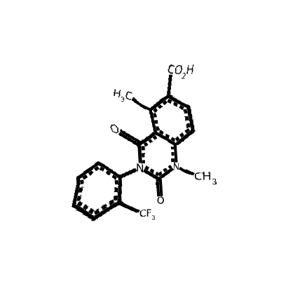 Cc1c(C(=O)O)ccc2c1c(=O)n(-c1ccccc1C(F)(F)F)c(=O)n2C